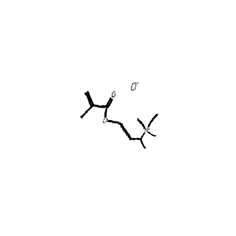 C=C(C)C(=O)OCCC(C)[N+](C)(C)C.[Cl-]